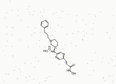 Cl.Cl.O=C(/C=C/c1cnc(N[C@@H]2CCCN(CCCc3ccccc3)C2)cn1)NO